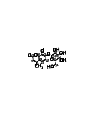 Cc1cc(=O)oc2c(Cl)c(O[C@H]3O[C@H](CO)[C@@H](O)[C@H](O)[C@H]3O)ccc12